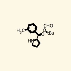 CC(C)(C)OC=O.Cc1cccc(C(=O)[C@H]2CCCN2)c1